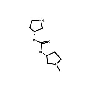 CN1CC[C@@H](NC(=O)N[C@@H]2CCNC2)C1